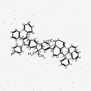 CC1CC=Cc2c(N(c3ccccc3)c3cccc4ccccc34)ccc(-c3ccc4c(c3)C(C)(C)c3cc5c(cc3-4)c(-c3ccccc3)c(-c3ccccc3)n5-c3ccc(F)cc3)c21